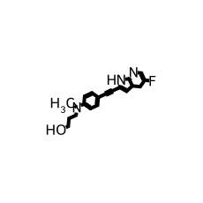 CN(CCCO)c1ccc(C#CC2=CC3CC(F)=CN=C3N2)cc1